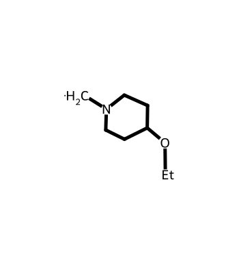 [CH2]N1CCC(OCC)CC1